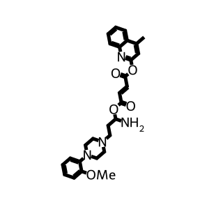 COc1ccccc1N1CCN(CCC(N)OC(=O)/C=C/C(=O)Oc2cc(C)c3ccccc3n2)CC1